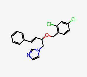 Clc1ccc(COC(C=Cc2ccccc2)Cn2ccnc2)c(Cl)c1